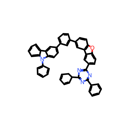 C1=CCC(c2nc(-c3ccccc3)nc(-c3ccc4oc5ccc(-c6cccc(-c7ccc8c(c7)c7ccccc7n8-c7ccccc7)c6)cc5c4c3)n2)C=C1